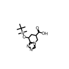 CC(C)(C)[Si](C)(C)OC1CC(C(=O)O)Cn2cnnc21